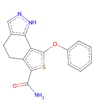 NC(=O)c1sc(Oc2ccccc2)c2c1CCc1cn[nH]c1-2